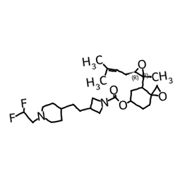 CC(C)=CC[C@H]1O[C@]1(C)C1CC(OC(=O)N2CC(CCC3CCN(CC(F)F)CC3)C2)CCC12CO2